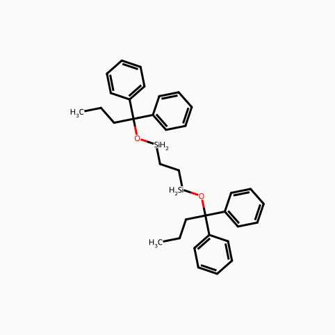 CCCC(O[SiH2]CC[SiH2]OC(CCC)(c1ccccc1)c1ccccc1)(c1ccccc1)c1ccccc1